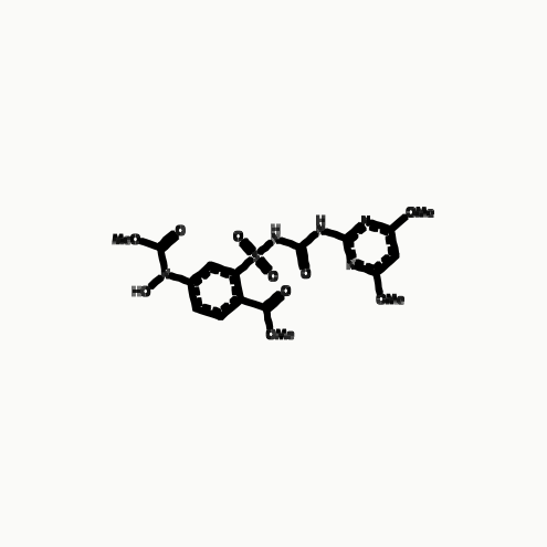 COC(=O)c1ccc(N(O)C(=O)OC)cc1S(=O)(=O)NC(=O)Nc1nc(OC)cc(OC)n1